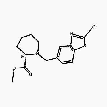 COC(=O)[C@@H]1CCCCN1Cc1ccc2sc(Cl)nc2c1